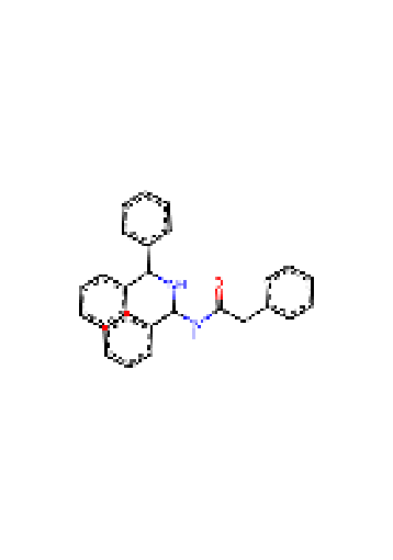 O=C(Cc1ccccc1)NC(NC(c1ccccc1)c1ccccc1)c1ccccc1